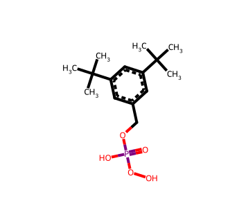 CC(C)(C)c1cc(COP(=O)(O)OO)cc(C(C)(C)C)c1